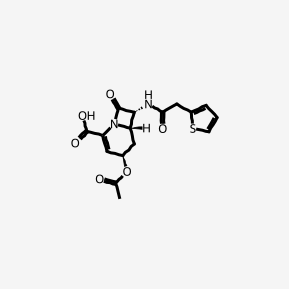 CC(=O)O[C@H]1C=C(C(=O)O)N2C(=O)[C@H](NC(=O)Cc3cccs3)[C@@H]2C1